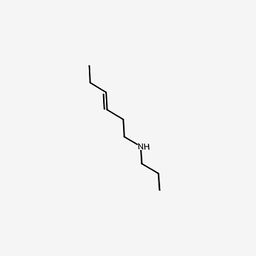 CC/C=C/CCNCCC